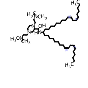 CCCCC/C=C\C/C=C\CCCCCCCCC(CCCCCCCC/C=C\C/C=C\CCCCC)NC(O)C1CN(CCN(C)C)CCN1CCN(C)C